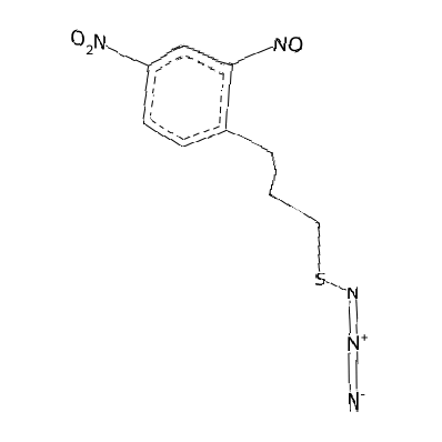 [N-]=[N+]=NSCCCc1ccc([N+](=O)[O-])cc1N=O